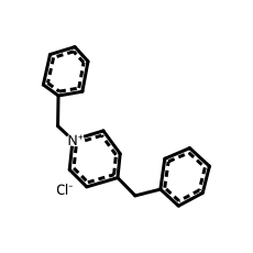 [Cl-].c1ccc(Cc2cc[n+](Cc3ccccc3)cc2)cc1